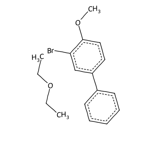 CCOCC.COc1ccc(-c2ccccc2)cc1Br